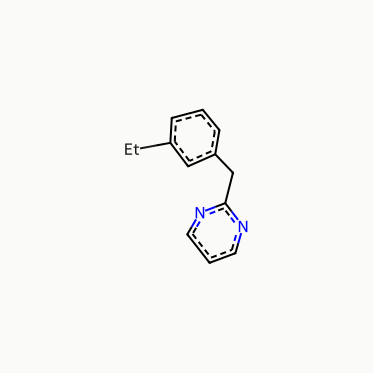 CCc1cccc(Cc2ncccn2)c1